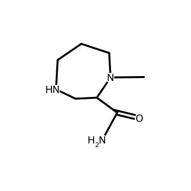 CN1CCCNCC1C(N)=O